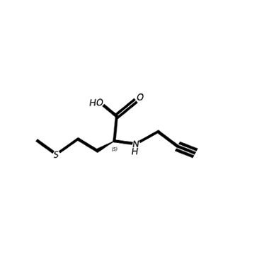 C#CCN[C@@H](CCSC)C(=O)O